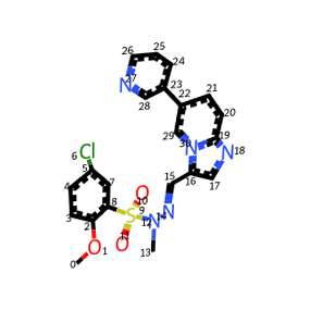 COc1ccc(Cl)cc1S(=O)(=O)N(C)/N=C/c1cnc2ccc(-c3cccnc3)cn12